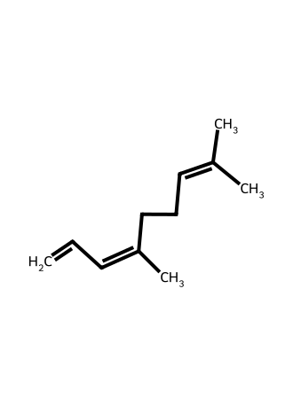 C=CC=C(C)CCC=C(C)C